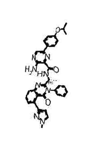 CC(C)Oc1ccc(-c2cnc(N)c(C(=O)N[C@H](C)c3nc4cccc(-c5ccn(C)n5)c4c(=O)n3-c3ccccc3)n2)cc1